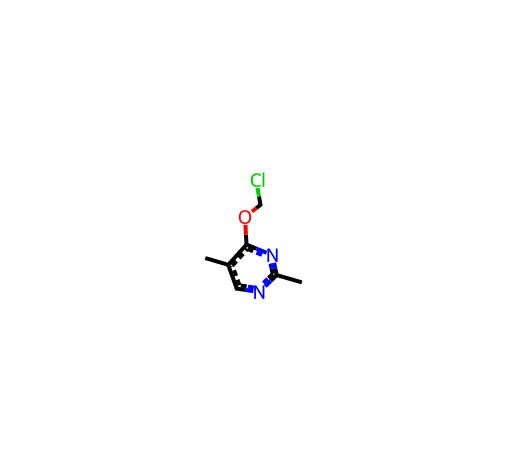 Cc1ncc(C)c(OCCl)n1